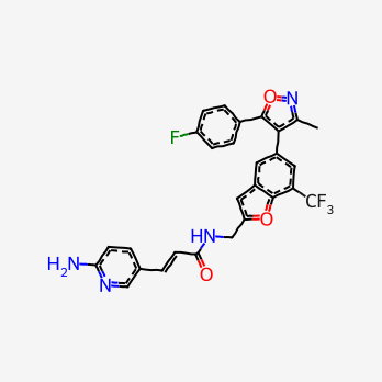 Cc1noc(-c2ccc(F)cc2)c1-c1cc(C(F)(F)F)c2oc(CNC(=O)C=Cc3ccc(N)nc3)cc2c1